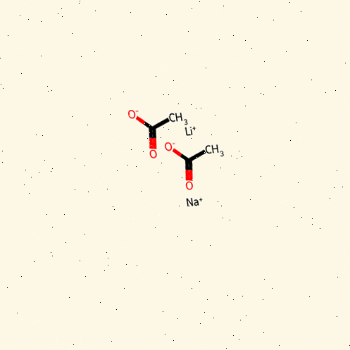 CC(=O)[O-].CC(=O)[O-].[Li+].[Na+]